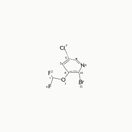 FC(F)Oc1cc(Cl)cnc1Br